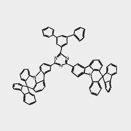 c1ccc(-c2cc(-c3ccccc3)cc(-c3nc(-c4ccc5c(c4)c4cccc6c4n5-c4ccccc4C64c5ccccc5-c5ccccc54)nc(-c4ccc5c(c4)c4cccc6c4n5-c4ccccc4C64c5ccccc5-c5ccccc54)n3)c2)cc1